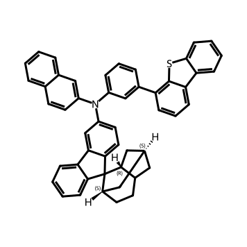 c1cc(-c2cccc3c2sc2ccccc23)cc(N(c2ccc3c(c2)-c2ccccc2C32[C@H]3CCC4C[C@@H](C3)C[C@H]42)c2ccc3ccccc3c2)c1